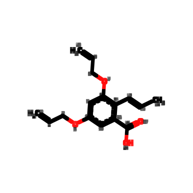 C=CCOc1cc(OCC=C)c(C=CC)c(C(=O)O)c1